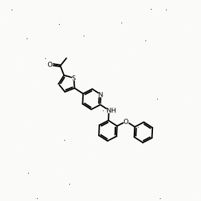 CC(=O)c1ccc(-c2ccc(Nc3ccccc3Oc3ccccc3)nc2)s1